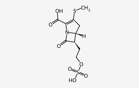 CSC1=C(C(=O)O)N2C(=O)[C@H](CCOS(=O)(=O)O)[C@H]2C1